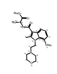 COC(=O)[C@@H](NC(=O)c1c(C)n(CCN2CCOCC2)c2c(OC)cccc12)C(C)(C)C